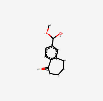 COC(O)c1ccc2c(c1)CCCCC2=O